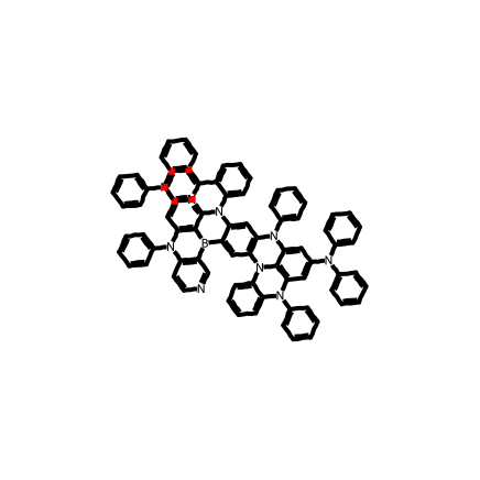 c1ccc(N(c2ccccc2)c2cc3c4c(c2)N(c2ccccc2)c2cc5c(cc2N4c2ccccc2N3c2ccccc2)B2c3cnccc3N(c3ccccc3)c3cc(N(c4ccccc4)c4ccccc4)nc(c32)N5c2ccccc2-c2ccccn2)cc1